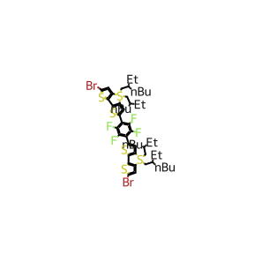 CCCCC(CC)CS1(CC(CC)CCCC)c2cc(Br)sc2-c2sc(-c3c(F)c(F)c(-c4cc5c(s4)-c4sc(Br)cc4S5(CC(CC)CCCC)CC(CC)CCCC)c(F)c3F)cc21